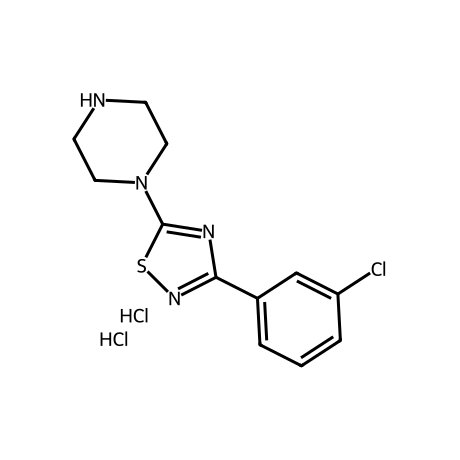 Cl.Cl.Clc1cccc(-c2nsc(N3CCNCC3)n2)c1